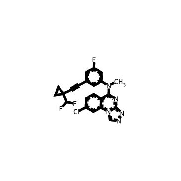 CN(c1cc(F)cc(C#CC2(C(F)F)CC2)c1)c1nc2nncn2c2cc(Cl)ccc12